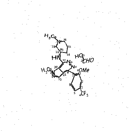 COc1cc(C(F)(F)F)ccc1-c1nnc(N[C@@H]2CCCN(C)C2)c2c1cnn2C.O=CO